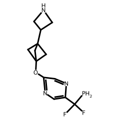 FC(F)(P)c1cnc(OC23CC(C4CNC4)(C2)C3)cn1